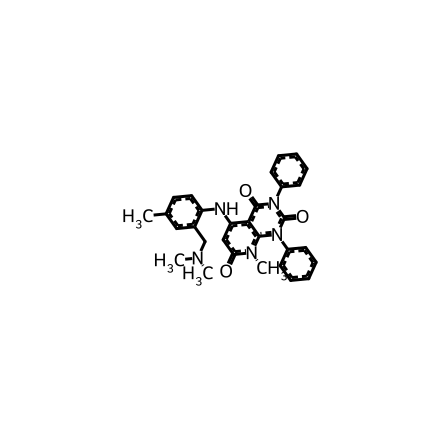 Cc1ccc(Nc2cc(=O)n(C)c3c2c(=O)n(-c2ccccc2)c(=O)n3-c2ccccc2)c(CN(C)C)c1